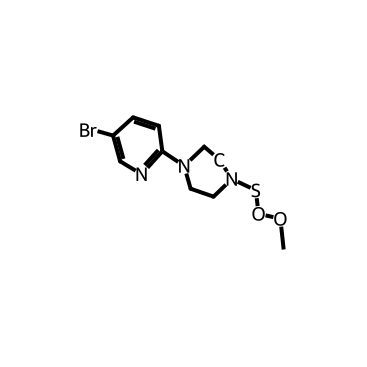 COOSN1CCN(c2ccc(Br)cn2)CC1